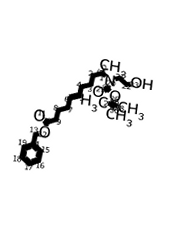 C[C@@H](CCCC=CCCCC(=O)OCc1ccccc1)N(CCO)C(=O)OC(C)(C)C